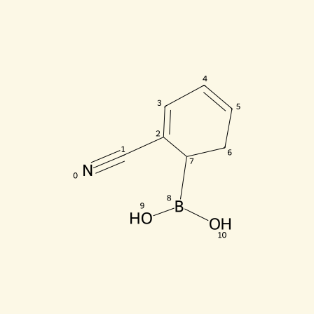 N#CC1=CC=CCC1B(O)O